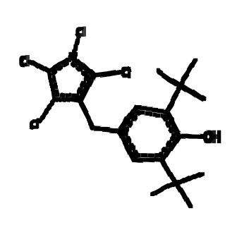 CC(C)(C)c1cc(Cc2c(Cl)c(Cl)n(Cl)c2Cl)cc(C(C)(C)C)c1O